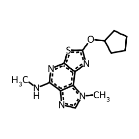 CNc1nc2sc(OC3CCCC3)nc2c2c1ncn2C